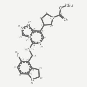 CC(C)(C)OC(=O)N1CCC(c2cnc(NCc3c(F)ccc4c3CCO4)n3cnnc23)C1